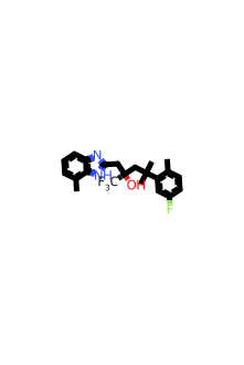 Cc1ccc(F)cc1C(C)(C)CC(O)(Cc1nc2cccc(C)c2[nH]1)C(F)(F)F